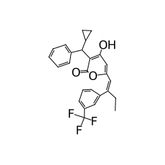 CCC(=Cc1cc(O)c(C(c2ccccc2)C2CC2)c(=O)o1)c1cccc(C(F)(F)F)c1